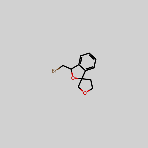 BrCC1OC2(CCOC2)c2ccccc21